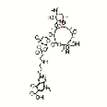 CC[C@H]1OC(=O)[C@H](C)[C@@H](O[C@H]2C[C@@](C)(OC)[C@@H](OS(=O)(=O)CCNCCSc3cc4c(=O)c(C(=O)O)cn(CC)c4cn3)[C@H](C)O2)[C@H](C)[C@@H](O[C@@H]2O[C@H](C)C[C@H](N(C)C)[C@H]2O)[C@](C)(OC)C[C@@H](C)C(=O)[C@H](C)[C@@H](O)[C@]1(C)O